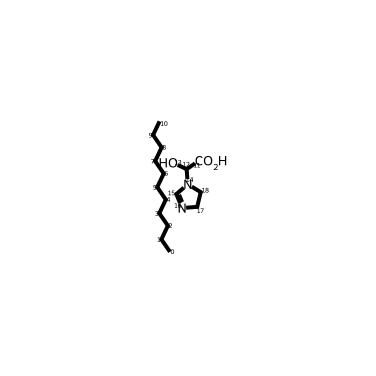 CCCCCCCCCCC.O=C(O)C(O)N1C=NCC1